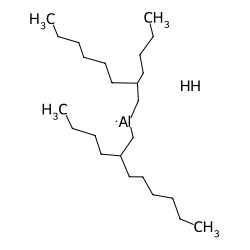 CCCCCCC(CCCC)[CH2][Al][CH2]C(CCCC)CCCCCC.[HH]